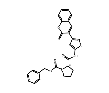 O=C(Nc1nc(-c2cc3ccccc3oc2=O)cs1)[C@@H]1CCCN1C(=O)OCc1ccccc1